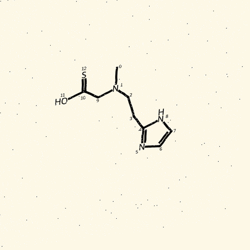 CN(CCc1ncc[nH]1)CC(O)=S